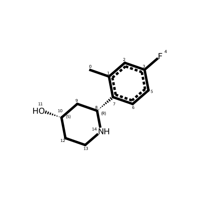 Cc1cc(F)ccc1[C@H]1C[C@@H](O)CCN1